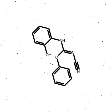 N#C/N=C(/Nc1ccccc1O)Oc1ccccc1